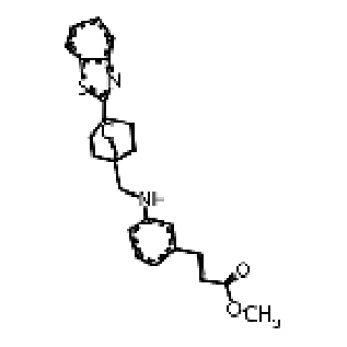 COC(=O)/C=C/c1cccc(NCC23CCC(c4nc5ccccc5s4)(CC2)CC3)c1